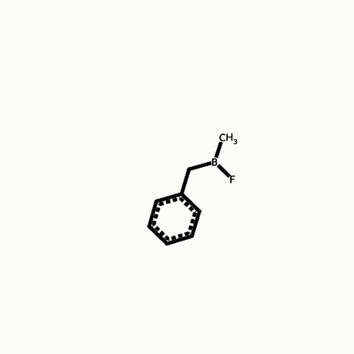 CB(F)Cc1ccccc1